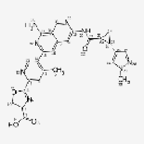 Cc1cc(C2=NC(C(=O)O)CO2)ncc1-c1cc2cc(NC(=O)[C@H]3C[C@@H]3c3cnn(C)c3)ncc2c(N)n1